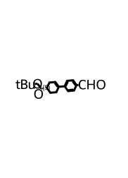 CC(C)(C)OC(=O)[C@@H]1CC=C(c2ccc(C=O)cc2)CC1